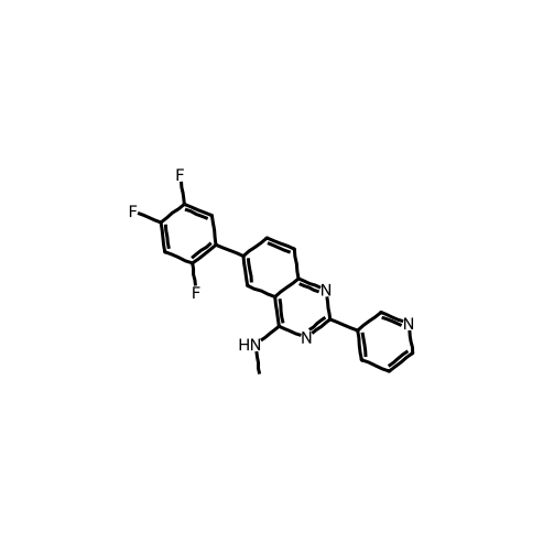 CNc1nc(-c2cccnc2)nc2ccc(-c3cc(F)c(F)cc3F)cc12